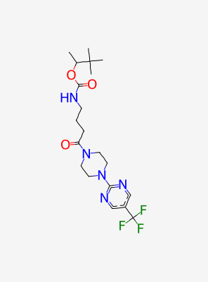 CC(OC(=O)NCCCC(=O)N1CCN(c2ncc(C(F)(F)F)cn2)CC1)C(C)(C)C